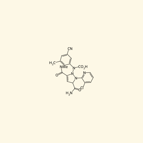 CNC(=O)C1=CC(C(N)=O)N(c2ncccc2Cl)N1N(C(=O)O)c1cc(C)cc(C#N)c1